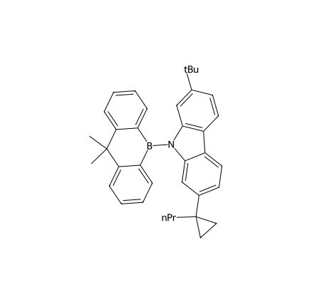 CCCC1(c2ccc3c4ccc(C(C)(C)C)cc4n(B4c5ccccc5C(C)(C)c5ccccc54)c3c2)CC1